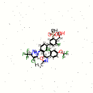 Cc1nc(-c2ccc(OC(F)F)cc2Cl)c(-c2cc(-c3cc(F)c(CO)c(S(C)(=O)=O)c3)ccc2-n2cc(Cl)c(C(F)(F)F)n2)o1